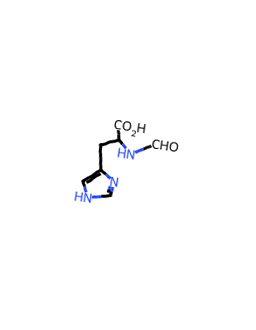 O=CNC(Cc1c[nH]cn1)C(=O)O